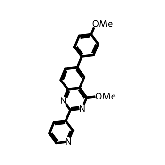 COc1ccc(-c2ccc3nc(-c4cccnc4)nc(OC)c3c2)cc1